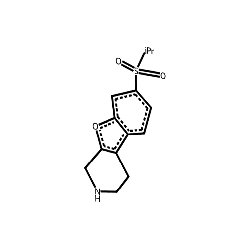 CC(C)S(=O)(=O)c1ccc2c3c(oc2c1)CNCC3